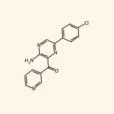 Nc1ncc(-c2ccc(Cl)cc2)nc1C(=O)c1cccnc1